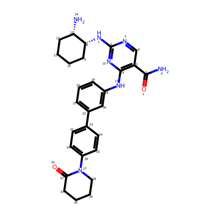 NC(=O)c1cnc(N[C@@H]2CCCC[C@@H]2N)nc1Nc1cccc(-c2ccc(N3CCCCC3=O)cc2)c1